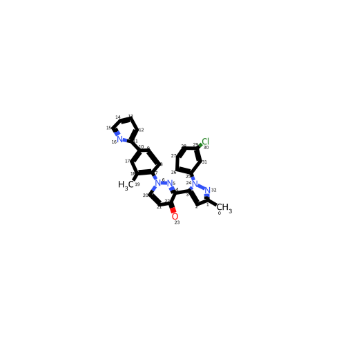 Cc1cc(-c2nn(-c3ccc(-c4ccccn4)cc3C)ccc2=O)n(-c2cccc(Cl)c2)n1